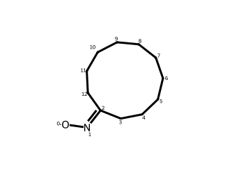 [O]N=C1CCCCCCCCCC1